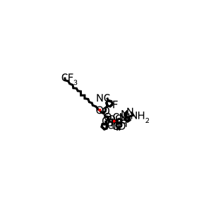 CC1(C)O[C@H]2[C@H](c3ccc4c(N)ncnn34)O[C@](C#N)(COP(=O)(OC[C@@H](COCCCCCCCCCCCCCCCCCC(F)(F)F)OCc3cc(F)cc(C#N)c3)Oc3ccccc3Cl)[C@H]2O1